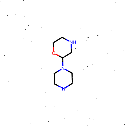 C1CN(C2CNCCO2)CC[N]1